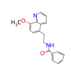 COc1ccc(CCNC(=O)c2ccccc2)c2cccnc12